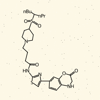 CCCCC(CCC)S(=O)(=O)C1CCN(CCCC(=O)Nc2nc(-c3ccc4c(c3)OC(=O)CN4)cs2)CC1